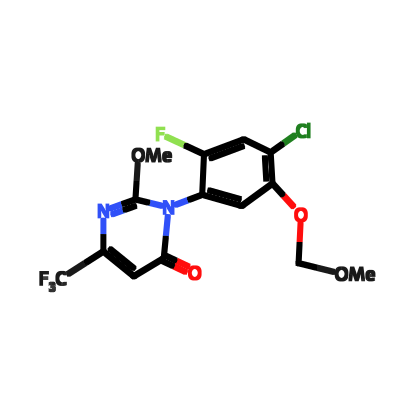 COCOc1cc(-n2c(OC)nc(C(F)(F)F)cc2=O)c(F)cc1Cl